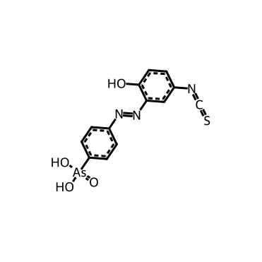 O=[As](O)(O)c1ccc(N=Nc2cc(N=C=S)ccc2O)cc1